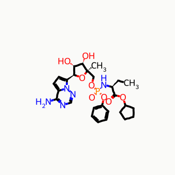 CC[C@H](N[P@](=O)(OC[C@@]1(C)O[C@@H](c2ccc3c(N)ncnn23)[C@H](O)[C@@H]1O)Oc1ccccc1)C(=O)OC1CCCC1